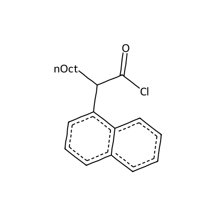 CCCCCCCCC(C(=O)Cl)c1cccc2ccccc12